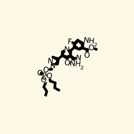 CCCCOP(=O)(OCCCC)OCn1cc(-c2cnc(-c3cc(C(=O)OC)c(N)cc3F)c3c(N)noc23)cn1